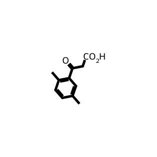 Cc1ccc(C)c(C(=O)CC(=O)O)c1